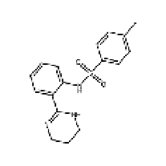 Cc1ccc(S(=O)(=O)Nc2ccccc2C2=NCCCN2)cc1